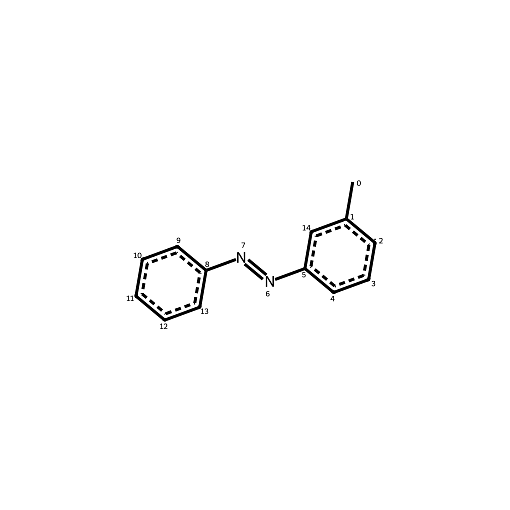 Cc1[c]ccc(N=Nc2ccccc2)c1